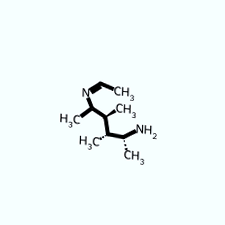 C/C=N\C(C)[C@@H](C)[C@@H](C)[C@@H](C)N